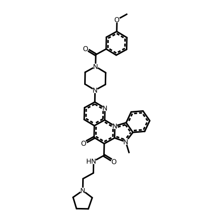 COc1cccc(C(=O)N2CCN(c3ccc4c(=O)c(C(=O)NCCN5CCCC5)c5n(C)c6ccccc6n5c4n3)CC2)c1